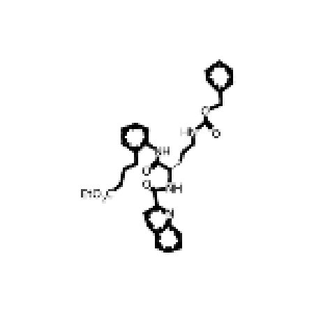 CCOC(=O)CCCc1ccccc1NC(=O)[C@H](CCCNC(=O)OCc1ccccc1)NC(=O)c1ccc2ccccc2n1